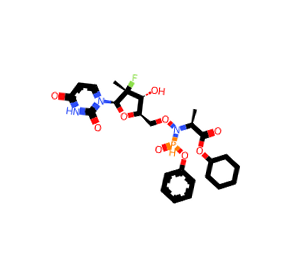 C[C@@H](C(=O)OC1CCCCC1)N(OC[C@H]1O[C@@H](n2ccc(=O)[nH]c2=O)[C@](C)(F)[C@@H]1O)[PH](=O)Oc1ccccc1